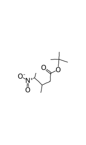 CC(CC(=O)OC(C)(C)C)C(C)[N+](=O)[O-]